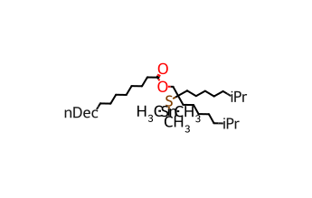 CCCCCCCCCCCCCCCCCC(=O)OCC(CCCCCC(C)C)(CCCCCC(C)C)[S][Sn]([CH3])([CH3])[CH3]